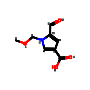 COCn1cc(C(=O)O)cc1C=O